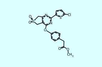 COC(=O)Cc1ccc(Oc2nc(-c3ccc(Cl)s3)nc3c2CS(=O)(=O)C3)cc1